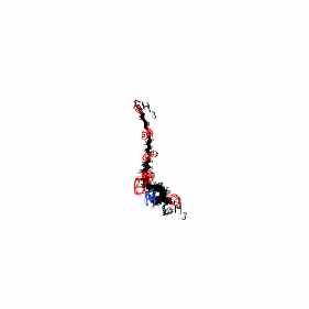 COCCCCOC(=O)CCCCC(=O)OCCCCOC(=O)c1ccc(C(C)=O)cn1